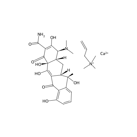 C=CC[N+](C)(C)C.CN(C)[C@@H]1C(O)=C(C(N)=O)C(=O)[C@@]2(O)C(O)=C3C(=O)c4c(O)cccc4[C@@](C)(O)[C@H]3C[C@@H]12.[Ca+2]